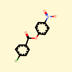 O=C(Oc1ccc([N+](=O)[O-])cc1)c1ccc(Cl)cc1